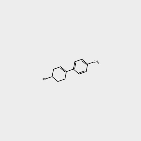 Cc1ccc(C2=CCC(O)CC2)cc1